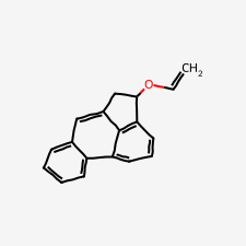 C=COC1Cc2cc3ccccc3c3cccc1c23